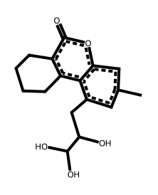 Cc1cc(CC(O)C(O)O)c2c3c(c(=O)oc2c1)CCCC3